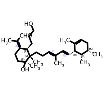 CC1=CC[C@H](C)[C@H](C)[C@@H]1/C=C/C(C)=C/CC[C@@]1(C)[C@H](CCCO)/C(=C(/C)C=O)CC[C@]1(C)O